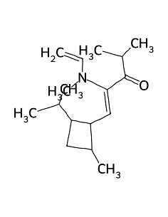 C=CN(C)/C(=C\C1C(C)CC1C(C)C)C(=O)C(C)C